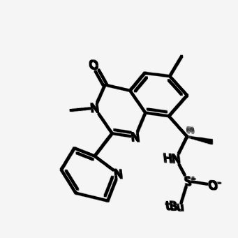 Cc1cc([C@@H](C)N[S+]([O-])C(C)(C)C)c2nc(-c3ccccn3)n(C)c(=O)c2c1